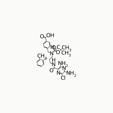 Cc1ccccc1C[C@@H](CNC(=O)c1nc(Cl)c(N)nc1N)CN(Cc1ccc(C(=O)O)cc1)C(=O)OC(C)(C)C